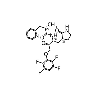 C[C@@H](Cc1ccccn1)C(=O)N[C@@H](C[C@@H]1CCNC1=O)C(=O)COc1c(F)c(F)cc(F)c1F